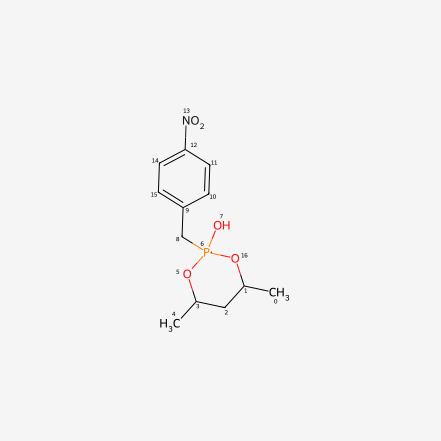 CC1CC(C)O[P](O)(Cc2ccc([N+](=O)[O-])cc2)O1